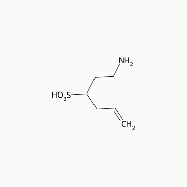 C=CCC(CCN)S(=O)(=O)O